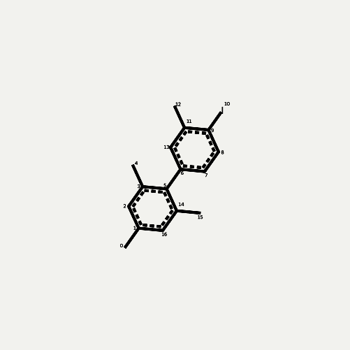 Cc1cc(C)c(-c2ccc(I)c(C)c2)c(C)c1